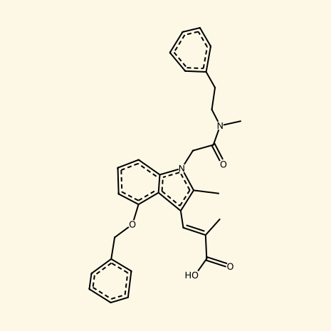 C/C(=C\c1c(C)n(CC(=O)N(C)CCc2ccccc2)c2cccc(OCc3ccccc3)c12)C(=O)O